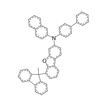 CC1(c2cccc3c2oc2cc(N(c4ccc(-c5ccccc5)cc4)c4ccc5ccccc5c4)ccc23)c2ccccc2-c2ccccc21